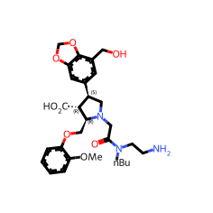 CCCCN(CCN)C(=O)CN1C[C@H](c2cc(CO)c3c(c2)OCO3)[C@@H](C(=O)O)[C@@H]1COc1ccccc1OC